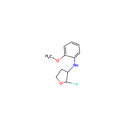 COc1ccccc1NC1CCO[C]1F